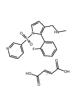 CNCc1ccn(S(=O)(=O)c2cccnc2)c1-c1ccccc1F.O=C(O)/C=C/C(=O)O